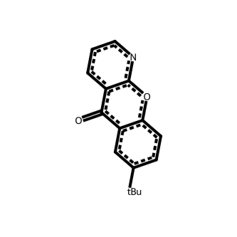 CC(C)(C)c1ccc2oc3ncccc3c(=O)c2c1